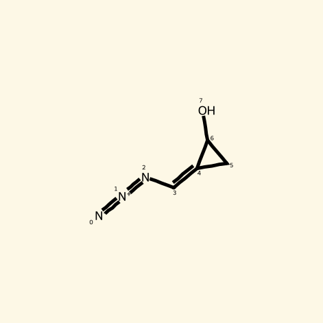 [N-]=[N+]=NC=C1CC1O